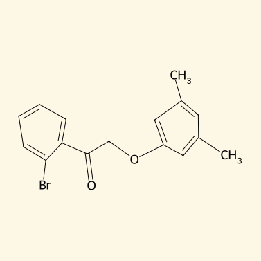 Cc1cc(C)cc(OCC(=O)c2ccccc2Br)c1